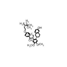 CCN(c1cc(OC)c(OC)cc1[C@@H]1CCc2cc(O)ccc2C1)C(C)c1ccc(OCCN(C)C(C)(C)C)cc1